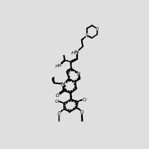 CCn1c(=O)c(-c2c(Cl)c(OC)cc(OC)c2Cl)cc2cnc(/C(=C/NCCN3CCOCC3)C(C)=N)cc21